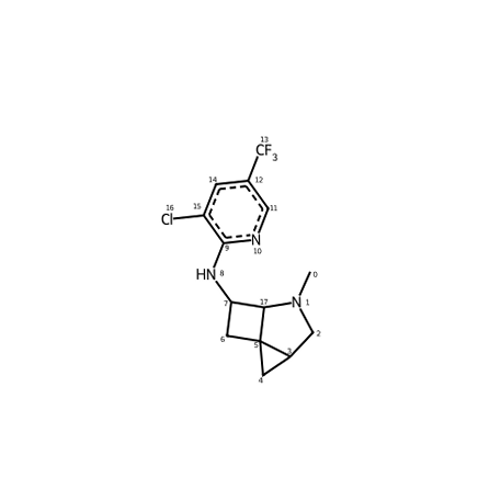 CN1CC2CC23CC(Nc2ncc(C(F)(F)F)cc2Cl)C13